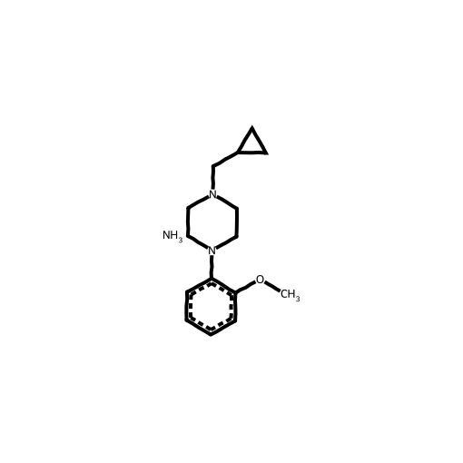 COc1ccccc1N1CCN(CC2CC2)CC1.N